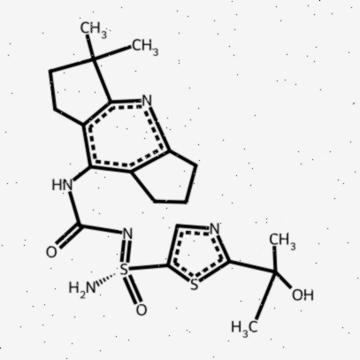 CC(C)(O)c1ncc([S@@](N)(=O)=NC(=O)Nc2c3c(nc4c2CCC4(C)C)CCC3)s1